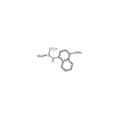 COc1ccc(N[C@@H](OC)C(=O)O)c2ccccc12